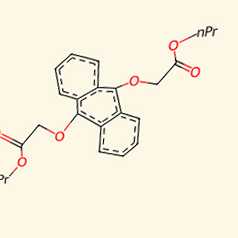 CCCOC(=O)COc1c2ccccc2c(OCC(=O)OCCC)c2ccccc12